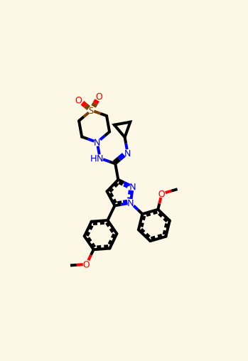 COc1ccc(-c2cc(C(=NC3CC3)NN3CCS(=O)(=O)CC3)nn2-c2ccccc2OC)cc1